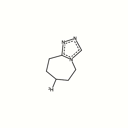 [2H]C1CCc2nncn2CC1